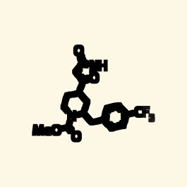 COC(=O)N1CCC(c2cc(=O)[nH]o2)CC1Cc1ccc(C(F)(F)F)cc1